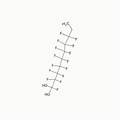 CCC(F)(F)C(F)(F)C(F)(F)C(F)(F)C(F)(F)C(F)(F)C(F)(F)C(O)(O)F